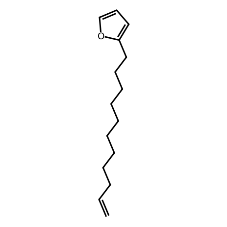 C=CCCCCCCCCCc1ccco1